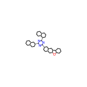 c1ccc2cc(-c3nc(-c4ccc5cc6oc7ccccc7c6cc5c4)nc(-c4cccc5ccccc45)n3)ccc2c1